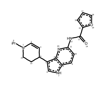 CC(C)N1C=CC(c2c[nH]c3ccc(NC(=O)c4ccco4)nc23)CC1